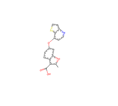 Cc1oc2cc(Oc3ccnc4ccsc34)ccc2c1C(=O)O